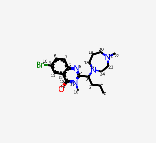 CCCC(c1nc2ccc(Br)cc2c(=O)n1C)N1CCCN(C)CC1